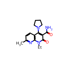 CCn1c(=O)c(C(N)=O)c(N2CCCC2)c2ccc(C)nc21